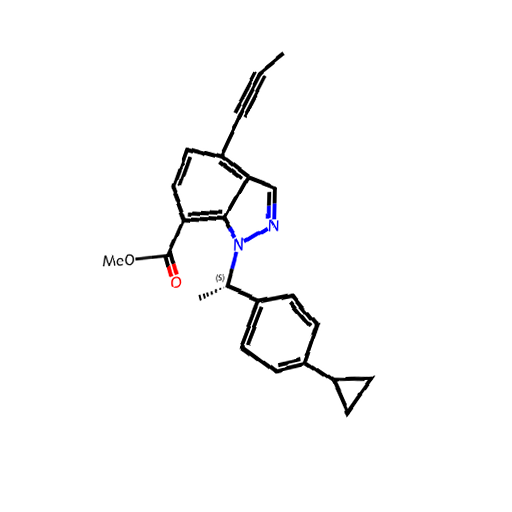 CC#Cc1ccc(C(=O)OC)c2c1cnn2[C@@H](C)c1ccc(C2CC2)cc1